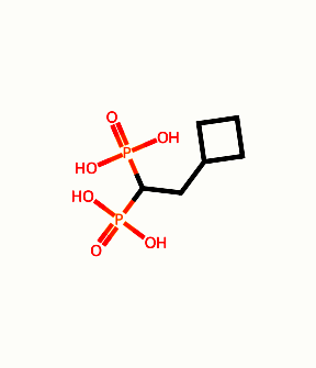 O=P(O)(O)C(CC1CCC1)P(=O)(O)O